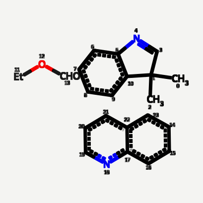 CC1(C)C=Nc2ccccc21.CCOC=O.c1ccc2ncccc2c1